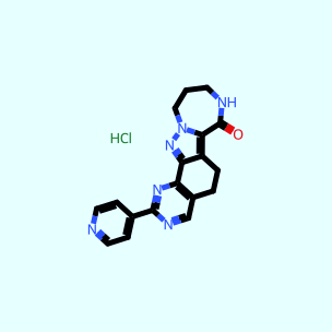 Cl.O=C1NCCCn2nc3c(c21)CCc1cnc(-c2ccncc2)nc1-3